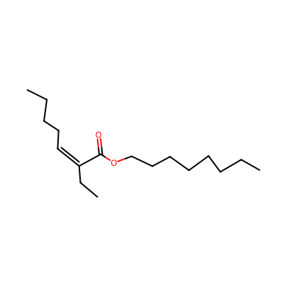 CCCCC=C(CC)C(=O)OCCCCCCCC